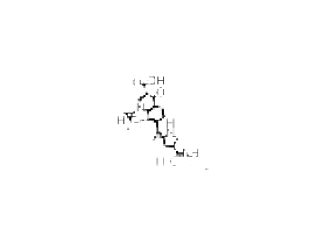 CN[C@@H](C)C1CNC2(C1)CC2c1ccc2c(=O)c(C(=O)O)cn(C3CC3)c2c1OC